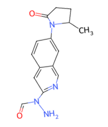 CC1CCC(=O)N1c1ccc2cc(N(N)C=O)ncc2c1